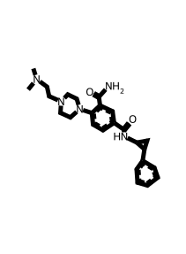 CN(C)CCN1CCN(c2ccc(C(=O)NC3CC3c3ccccc3)cc2C(N)=O)CC1